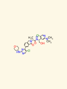 C[C@H](C(=O)N[C@H](CO)c1cc(N(C)C)ncc1Cl)N1Cc2ccc(-c3nc(NC4CCOCC4)ncc3Cl)cc2C1=O